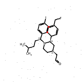 CC(C)CC[C@@H](c1ccc(I)cc1)N1CC[C@H](CC=O)C[C@@H]1C1C=CC(CF)=CC1